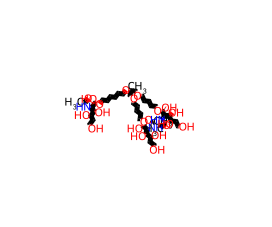 CC(=O)N/C(=C(/O)[C@@H](O)CCO)[C@@H](O)OCCCCCCOC(C)(COCCCCCO[C@H](O)/C(NC(C)=O)=C(\O)[C@@H](O)CCO)COCCCCCO[C@H](O)/C(NC(C)=O)=C(\O)[C@@H](O)CCO